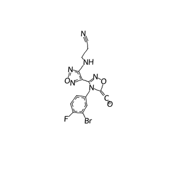 N#CCCNc1nonc1C1=NOC(=C=O)N1c1ccc(F)c(Br)c1